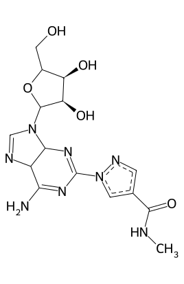 CNC(=O)c1cnn(C2=NC3C(N=CN3C3OC(CO)[C@@H](O)[C@H]3O)C(N)=N2)c1